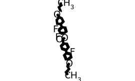 CCCCOc1ccc(-c2ccc(C(=O)Oc3ccc(C4CCC(OCCCC)CC4)c(F)c3F)cc2)c(F)c1